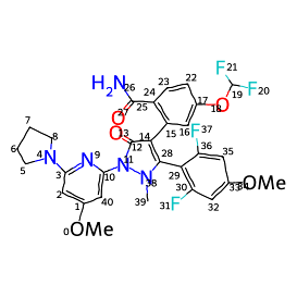 COc1cc(N2CCCC2)nc(-n2c(=O)c(-c3cc(OC(F)F)ccc3C(N)=O)c(-c3c(F)cc(OC)cc3F)n2C)c1